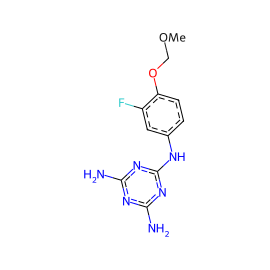 COCOc1ccc(Nc2nc(N)nc(N)n2)cc1F